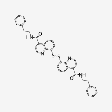 O=C(NCCc1ccccc1)c1ccnc2c(SSc3cccc4c(C(=O)NCCc5ccccc5)ccnc34)cccc12